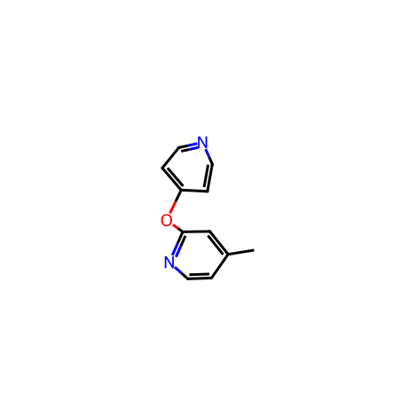 Cc1ccnc(Oc2ccncc2)c1